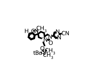 CN(C)[C@]1(c2ccccc2)CC[C@]2(CC1)CN(c1cnc(C#N)nc1)C(=O)N2CCO[Si](C)(C)C(C)(C)C